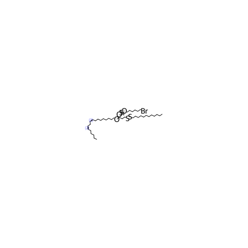 CCCCC/C=C\C/C=C\CCCCCCCCOC(CCSSCCCCCCCCCCCC)O[Si](C)(C)OCCCCCCBr